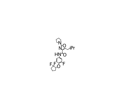 CC(C)Cc1oc(N2CCCC2)nc1C(=O)Nc1ccc(OC2CCCC2(F)F)c(F)c1